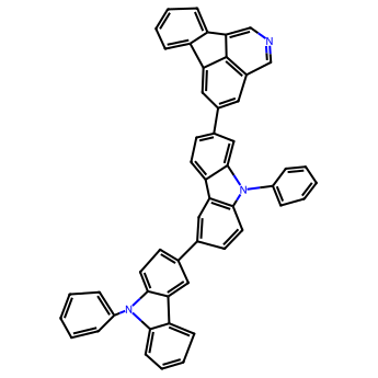 c1ccc(-n2c3ccccc3c3cc(-c4ccc5c(c4)c4ccc(-c6cc7c8c(cncc8c6)-c6ccccc6-7)cc4n5-c4ccccc4)ccc32)cc1